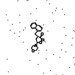 CCC(=O)[C@@H](CC(=O)N1CCOCC1)Cc1cccc2ccccc12